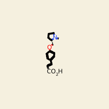 CN1CCC[C@H]1COc1ccc(/C=C/C(=O)O)cc1